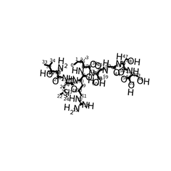 CC[C@H](C)[C@H](NC(=O)[C@@H](CCCNC(=N)N)NC(=O)[C@H](C[Si](C)(C)C)NC(=O)[C@@H](N)[C@H](O)C(C)C)C(=O)N[C@H](C(=O)NCC(=O)N[C@@H](CO)C(=O)N[C@@H](CO)C(=O)O)[C@H](C)O